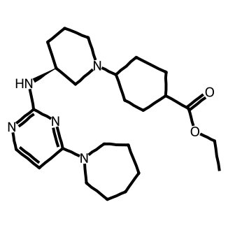 CCOC(=O)C1CCC(N2CCC[C@H](Nc3nccc(N4CCCCCC4)n3)C2)CC1